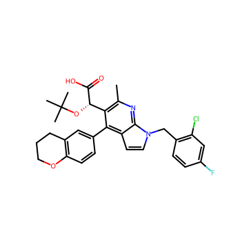 Cc1nc2c(ccn2Cc2ccc(F)cc2Cl)c(-c2ccc3c(c2)CCCO3)c1[C@H](OC(C)(C)C)C(=O)O